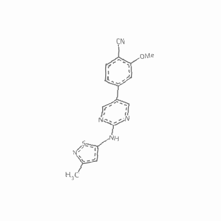 COc1cc(-c2cnc(Nc3cc(C)ns3)nc2)ccc1C#N